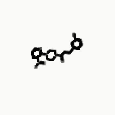 O=C(C=Cc1cccc(Br)c1)N1CCN(c2ncccc2[N+](=O)[O-])CC1